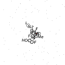 C#Cc1c(F)ccc2cc(O)cc(-c3nc(OC)c4c(N5CC6CCC(C5)N6C(=O)[C@H]5CC5F)nc(OCC5(CN6CCC(I)CC6)CC5)nc4c3F)c12